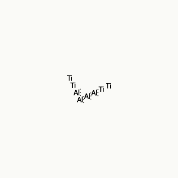 [Al].[Al].[Al].[Al].[Ti].[Ti].[Ti].[Ti]